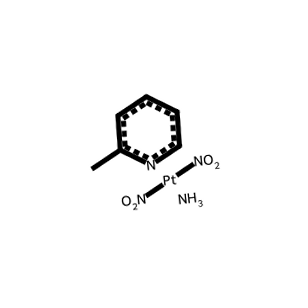 Cc1ccccn1.N.O=[N+]([O-])[Pt][N+](=O)[O-]